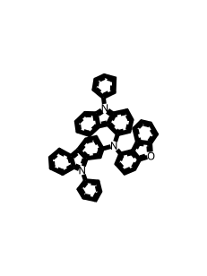 c1ccc(-n2c3ccccc3c3ccc(N(c4cccc5oc6ccccc6c45)c4cccc5c4c4ccccc4n5-c4ccccc4)cc32)cc1